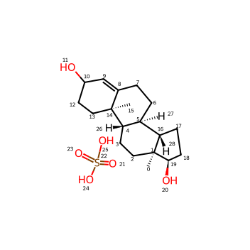 C[C@]12CC[C@H]3[C@@H](CCC4=CC(O)CC[C@@]43C)[C@@H]1CC[C@H]2O.O=S(=O)(O)O